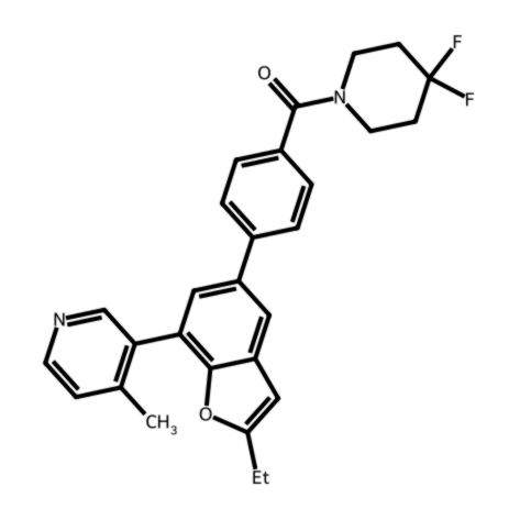 CCc1cc2cc(-c3ccc(C(=O)N4CCC(F)(F)CC4)cc3)cc(-c3cnccc3C)c2o1